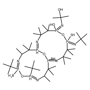 BP1(C(C)(C)C)=NC(C)C(C)(C)/[PH]2=N/C(C)(C)C(C)(C)P(O)(=NC(C)(C)O)OP(S)(=NC(C)(C)C)C(C)(C)C(C)(C)N=P(B)(O2)C(C)(C)C(C)/N=[PH](\C(C)(C)C)O1